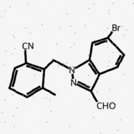 Cc1cccc(C#N)c1Cn1nc(C=O)c2ccc(Br)cc21